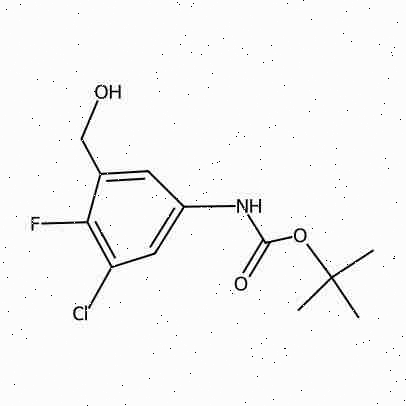 CC(C)(C)OC(=O)Nc1cc(Cl)c(F)c(CO)c1